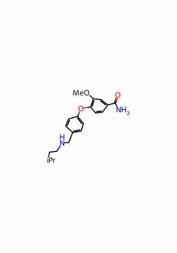 COc1cc(C(N)=O)ccc1Oc1ccc(CNCCC(C)C)cc1